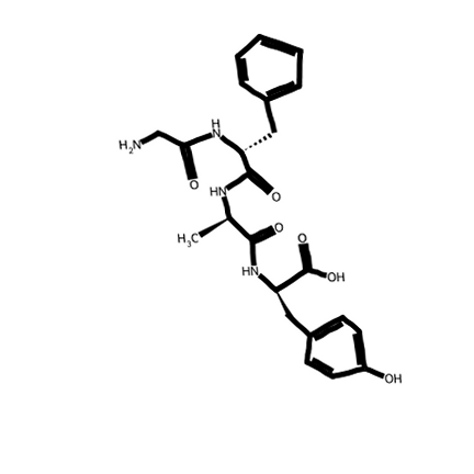 C[C@@H](NC(=O)[C@@H](Cc1ccccc1)NC(=O)CN)C(=O)N[C@H](Cc1ccc(O)cc1)C(=O)O